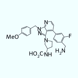 COc1ccc(Cn2nc(N3CCC(NC(=O)O)C3)c3c(-c4ccc(CN)c(F)c4)ccnc32)cc1